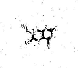 CCOC(C)=Nc1c(N)nc(Cl)nc1Cl